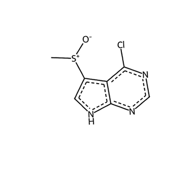 C[S+]([O-])c1c[nH]c2ncnc(Cl)c12